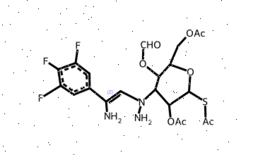 CC(=O)OCC1OC(SC(C)=O)C(OC(C)=O)C(N(N)/C=C(\N)c2cc(F)c(F)c(F)c2)C1OC=O